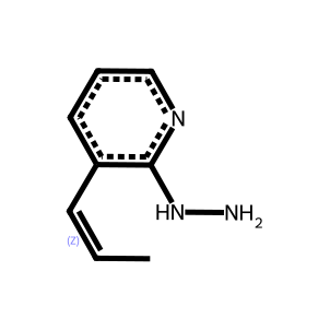 C/C=C\c1cccnc1NN